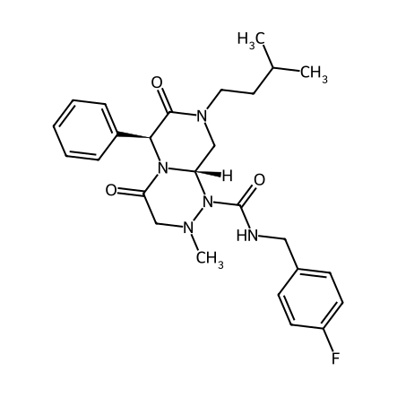 CC(C)CCN1C[C@H]2N(C(=O)CN(C)N2C(=O)NCc2ccc(F)cc2)[C@@H](c2ccccc2)C1=O